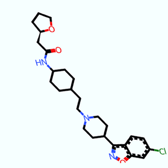 O=C(C[C@H]1CCCO1)NC1CCC(CCN2CCC(c3noc4cc(Cl)ccc34)CC2)CC1